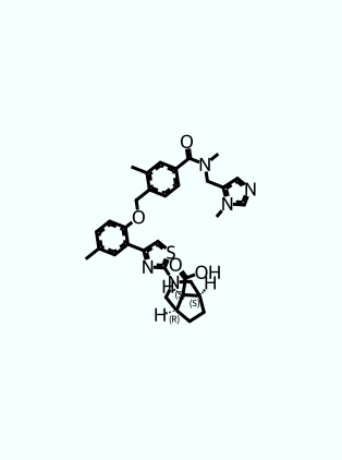 Cc1ccc(OCc2ccc(C(=O)N(C)Cc3cncn3C)cc2C)c(-c2csc(N3C[C@H]4CC[C@@H](C3)[C@H]4C(=O)O)n2)c1